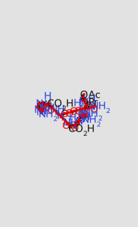 CC(=O)OCc1ccc(N[C@H](C(=O)C[C@@H](CCCNC(N)=O)C(=O)NCCOCCOCCOCCOCCN(CCCCCNC(=O)CC[C@H](NC(=O)c2ccc(N(C)Cc3cnc4nc(N)nc(N)c4n3)cc2)C(=O)O)CCCCCNC(=O)CC[C@H](NC(=O)c2ccc(N(C)Cc3cnc4nc(N)nc(N)c4n3)cc2)C(=O)O)C(C)C)cc1